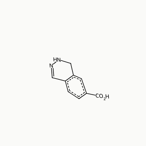 O=C(O)c1ccc2c(c1)CNN=C2